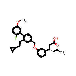 CCC[C@@H](CC(=O)O)c1cccc(OCc2ccc(-c3cc(OC)ccc3F)c(C=CC3CC3)c2)c1